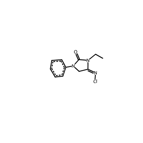 CCN1C(=O)N(c2ccccc2)CC1=NCl